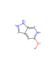 COc1cc2cn[nH]c2cn1